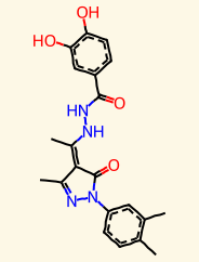 CC1=NN(c2ccc(C)c(C)c2)C(=O)/C1=C(/C)NNC(=O)c1ccc(O)c(O)c1